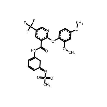 COc1ccc(Oc2ncc(C(F)(F)F)cc2C(=O)NC2=CC=CC(=NS(C)(=O)=O)C2)c(OC)c1